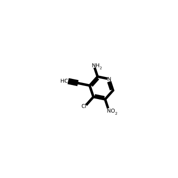 C#Cc1c(N)ncc([N+](=O)[O-])c1Cl